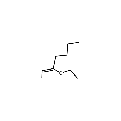 CC=C(CCCC)OCC